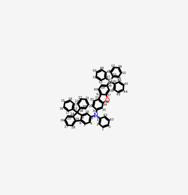 c1ccc(N(c2ccc3c(c2)C(c2ccccc2)(c2ccccc2)c2ccccc2-3)c2ccc3c(c2)oc2cc([Si](c4ccccc4)(c4ccccc4)c4ccccc4)ccc23)cc1